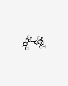 Cc1ccc(C(C=Cc2ccc(C(=O)O)c(C(F)(F)F)c2)C(F)(F)F)cc1Cl